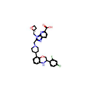 O=C(O)c1ccc2nc(CN3CCC(c4cccc5c4OCC(c4ccc(Cl)cc4F)N5)CC3)n(C[C@@H]3CCO3)c2n1